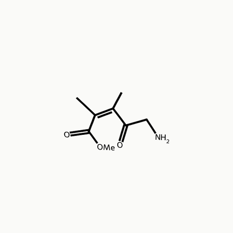 COC(=O)C(C)=C(C)C(=O)CN